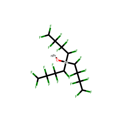 CCC[O][Sn]([CH](F)C(F)(F)C(F)(F)C(F)F)([CH](F)C(F)(F)C(F)(F)C(F)F)[CH](F)C(F)(F)C(F)(F)C(F)F